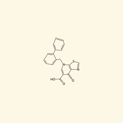 O=C(O)c1cn(Cc2ccccc2-c2ccccc2)c2scnc2c1=O